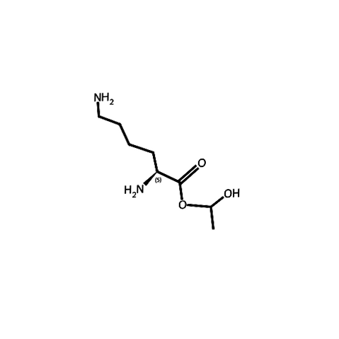 CC(O)OC(=O)[C@@H](N)CCCCN